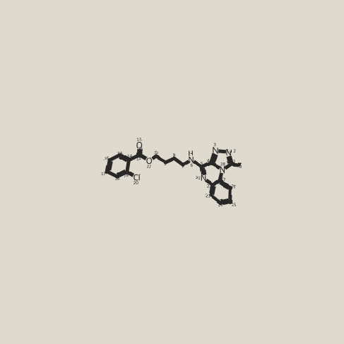 Cc1nnc2c(NCCCCOC(=O)c3ccccc3Cl)nc3ccccc3n12